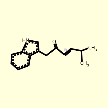 CC(C)/C=C/C(=O)Cc1c[nH]c2ccccc12